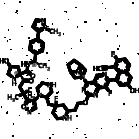 C#Cc1c(F)ccc2cc(O)cc(-c3ncc4c(N5CC6CCC(C5)N6)nc(OCCC5CC(F)(CC6CNCCN6c6cnoc6C(C)(C)CC(=O)[C@]6(C(=O)N[C@@H](C)c7ccc(-c8ccnn8C)cc7)CC(O)CN6)CCN5)nc4c3F)c12